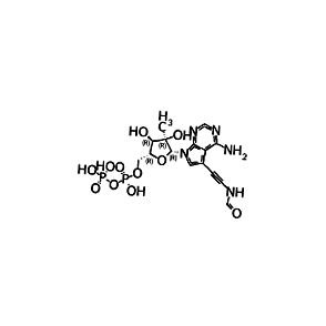 C[C@@]1(O)[C@H](O)[C@@H](COP(=O)(O)OP(=O)(O)O)O[C@H]1n1cc(C#CNC=O)c2c(N)ncnc21